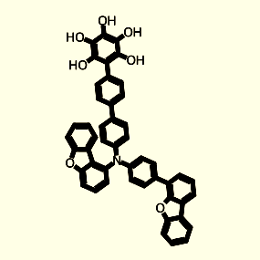 Oc1c(O)c(O)c(-c2ccc(-c3ccc(N(c4ccc(-c5cccc6c5oc5ccccc56)cc4)c4cccc5oc6ccccc6c45)cc3)cc2)c(O)c1O